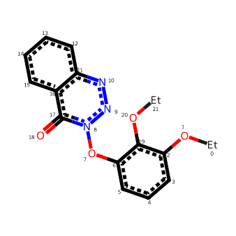 CCOc1cccc(On2nnc3ccccc3c2=O)c1OCC